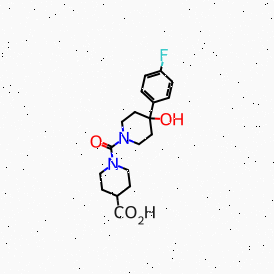 O=C(O)C1CCN(C(=O)N2CCC(O)(c3ccc(F)cc3)CC2)CC1